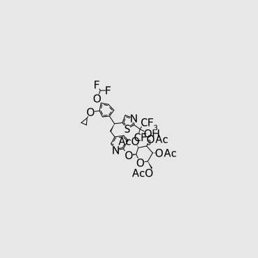 CC(=O)OC[C@H]1O[C@@H](Oc2ccc(C[C@@H](c3ccc(OC(F)F)c(OC4CC4)c3)c3cnc(C(O)(C(F)(F)F)C(F)(F)F)s3)cn2)[C@H](OC(C)=O)[C@@H](OC(C)=O)[C@@H]1OC(C)=O